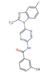 Cc1ccc2c(c1)nc(C(F)(F)F)n2-c1cnc(NC(=O)c2cccc(C#N)c2)cn1